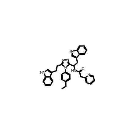 CCc1ccc(-n2c(CCc3c[nH]c4ccccc34)nnc2C(Cc2c[nH]c3ccccc23)NC(=O)Cc2ccccn2)cc1